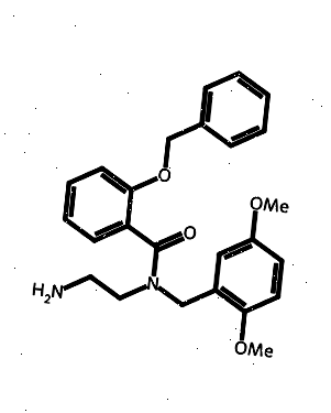 COc1ccc(OC)c(CN(CCN)C(=O)c2ccccc2OCc2ccccc2)c1